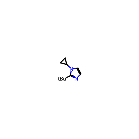 CC(C)(C)c1nccn1C1CC1